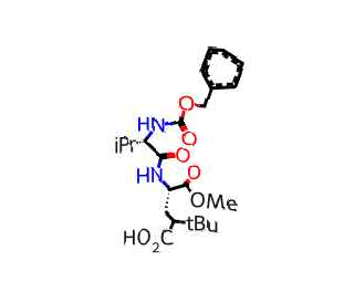 COC(=O)[C@H](CC(C(=O)O)C(C)(C)C)NC(=O)[C@@H](NC(=O)OCc1ccccc1)C(C)C